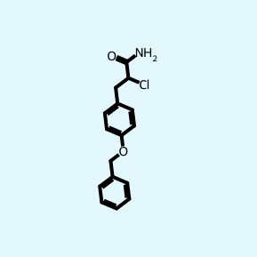 NC(=O)C(Cl)Cc1ccc(OCc2ccccc2)cc1